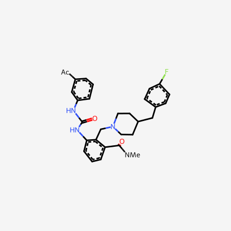 CNC(=O)c1cccc(NC(=O)Nc2cccc(C(C)=O)c2)c1CN1CCC(Cc2ccc(F)cc2)CC1